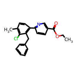 CCOC(=O)c1ccc(-c2ccc(C)c(Cl)c2Cc2ccccc2)nc1